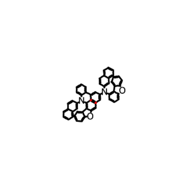 c1cc(-c2ccccc2N(c2ccc3ccccc3c2)c2cccc3oc4ccccc4c23)cc(N(c2ccc3ccccc3c2)c2cccc3oc4ccccc4c23)c1